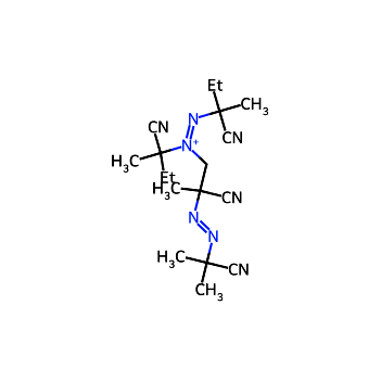 CCC(C)(C#N)N=[N+](CC(C)(C#N)N=NC(C)(C)C#N)C(C)(C#N)CC